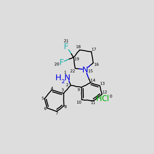 Cl.NC(c1ccccc1)c1ccccc1N1CCCC(F)(F)C1